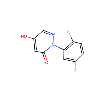 O=c1cc(O)cnn1-c1cc(F)ccc1F